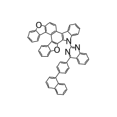 c1ccc2c(-c3ccc(-c4nc(-n5c6ccccc6c6c7ccc8oc9ccccc9c8c7c7c8ccccc8oc7c65)nc5ccccc45)cc3)cccc2c1